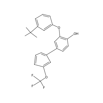 CC(C)(C)c1cccc(Oc2cc(-c3cccc(OC(F)(F)F)c3)ccc2O)c1